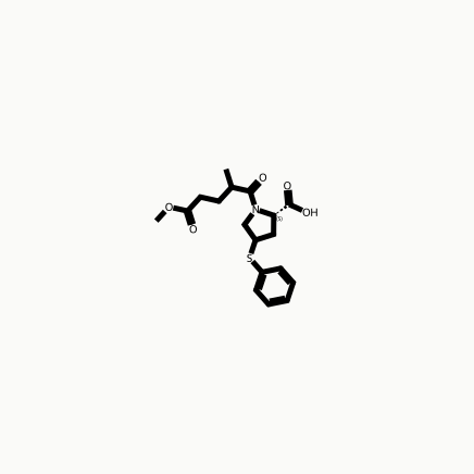 COC(=O)CCC(C)C(=O)N1CC(Sc2ccccc2)C[C@H]1C(=O)O